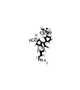 Cc1c(-c2cccc(S(=O)(=O)N(C)C)c2)c2cc(O)ccc2n1C/C(F)=C/CN.Cl